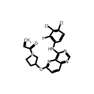 C=CC(=O)N1CCC(Oc2ccc3ncnc(Nc4ccc(Cl)c(Cl)c4F)c3n2)C1